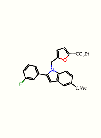 CCOC(=O)c1ccc(Cn2c(-c3cccc(F)c3)cc3cc(OC)ccc32)o1